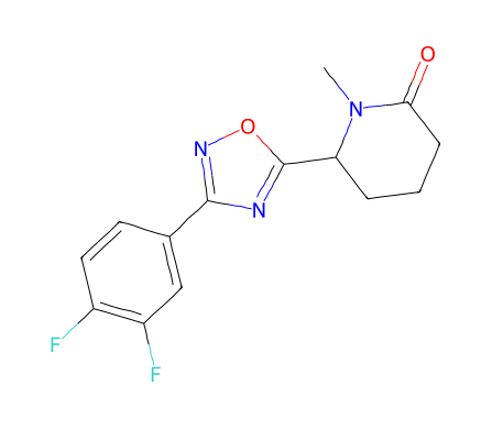 CN1C(=O)CCCC1c1nc(-c2ccc(F)c(F)c2)no1